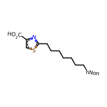 CCCCCCCCCCCCCCCCc1nc(C(=O)O)cs1